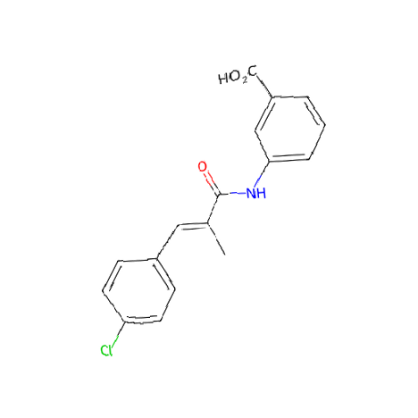 C/C(=C\c1ccc(Cl)cc1)C(=O)Nc1cccc(C(=O)O)c1